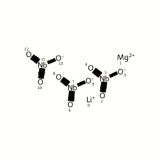 [Li+].[Mg+2].[O]=[Nb](=[O])[O-].[O]=[Nb](=[O])[O-].[O]=[Nb](=[O])[O-]